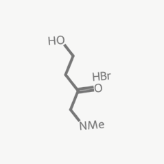 Br.CNCC(=O)CCO